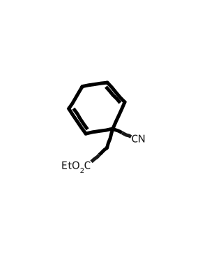 CCOC(=O)CC1(C#N)C=CCC=C1